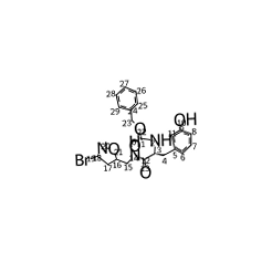 O=C(N[C@@H](Cc1cccc(O)c1)C(=O)NCC1CC(Br)=NO1)OCc1ccccc1